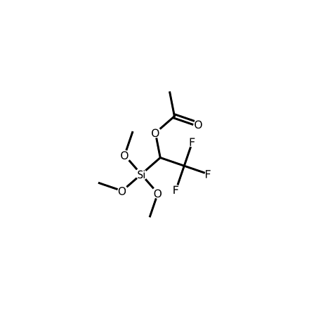 CO[Si](OC)(OC)C(OC(C)=O)C(F)(F)F